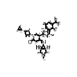 C[C@@H](NC(=O)c1cn([C@H]2C[C@@H](C3CC3)C2)c(=O)cc1N[C@H]1[C@@H]2CN(C)C[C@@H]21)c1cccc(C(F)F)c1F